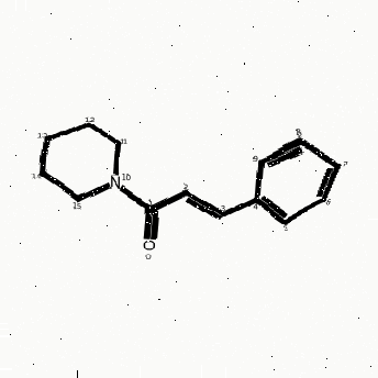 O=C(/C=C/c1ccccc1)N1CCCCC1